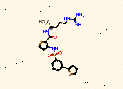 N=C(N)NCCC[C@H](NC(=O)c1sccc1NS(=O)(=O)c1cccc(-c2cccs2)c1)C(=O)O